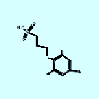 CS(=O)(=O)CCCOc1c(F)cc(Br)cc1F